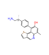 Cc1cc(O)c(-c2ccc([C@@H](C)CN)cc2)c2c1ncc1ccsc12